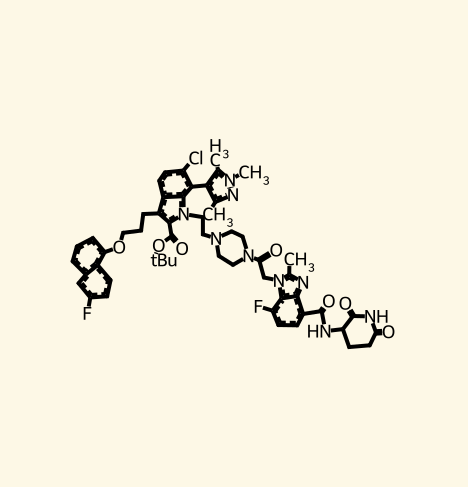 Cc1nn(C)c(C)c1-c1c(Cl)ccc2c(CCCOc3cccc4cc(F)ccc34)c(C(=O)OC(C)(C)C)n(CCN3CCN(C(=O)Cn4c(C)nc5c(C(=O)NC6CCC(=O)NC6=O)ccc(F)c54)CC3)c12